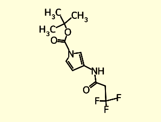 CC(C)(C)OC(=O)n1ccc(NC(=O)CC(F)(F)F)c1